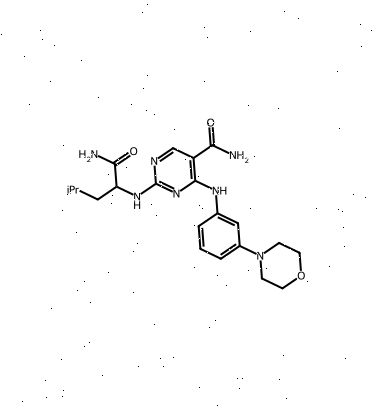 CC(C)CC(Nc1ncc(C(N)=O)c(Nc2cccc(N3CCOCC3)c2)n1)C(N)=O